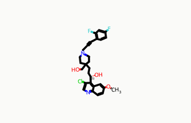 COc1ccc2ncc(Cl)c([C@@H](O)CCC3(CO)CCN(CC#Cc4ccc(F)cc4F)CC3)c2c1